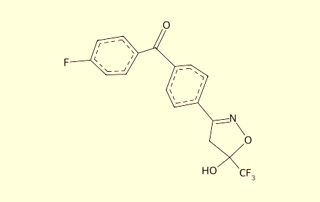 O=C(c1ccc(F)cc1)c1ccc(C2=NOC(O)(C(F)(F)F)C2)cc1